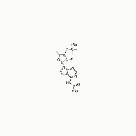 C=C1O[C@@H](n2ccc3c(NC(=O)C(C)(C)C)ncnc32)[C@@H](F)[C@@H]1O[Si](C)(C)C(C)(C)C